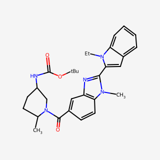 CCn1c(-c2nc3cc(C(=O)N4CC(NC(=O)OC(C)(C)C)CCC4C)ccc3n2C)cc2ccccc21